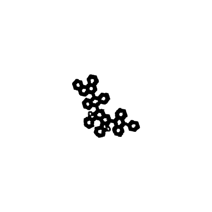 c1ccc(-c2c3ccccc3c(-c3cc4cc(-c5c6ccccc6c(-c6cc7ccccc7c7c6ccc6ccccc67)c6ccccc56)c5oc6ccccc6c5c4c4c3oc3ccccc34)c3ccccc23)cc1